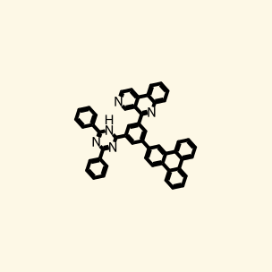 c1ccc(C2=NC(c3cc(-c4ccc5c6ccccc6c6ccccc6c5c4)cc(-c4nc5ccccc5c5ccncc45)c3)NC(c3ccccc3)=N2)cc1